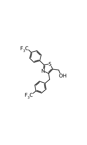 OCc1sc(-c2ccc(C(F)(F)F)cc2)nc1Cc1ccc(C(F)(F)F)cc1